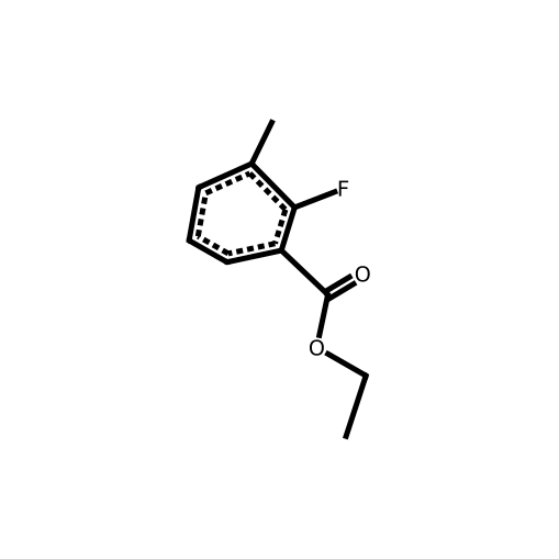 CCOC(=O)c1cccc(C)c1F